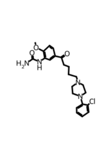 COc1ccc(C(=O)CCCCN2CCN(c3ccccc3Cl)CC2)cc1NC(N)=O